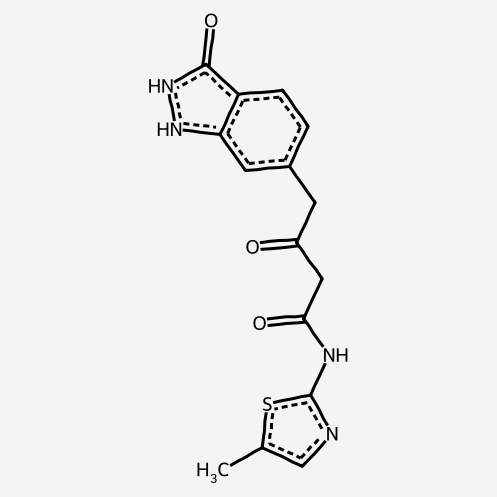 Cc1cnc(NC(=O)CC(=O)Cc2ccc3c(=O)[nH][nH]c3c2)s1